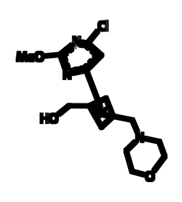 COc1nc(Cl)cc(N2CC3(CN4CCOCC4)CC2(CO)C3)n1